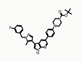 Cc1c(-c2c[nH]c3ncc(-c4ccc(N5CCN(C(=O)OC(C)(C)C)CC5)cc4)cc23)cnn1Cc1cccc(F)c1